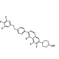 CCCC1CCC(c2cc3ccc(-c4ccc(CCc5cc(F)c(F)c(F)c5)cc4)c(F)c3c(F)c2F)CC1